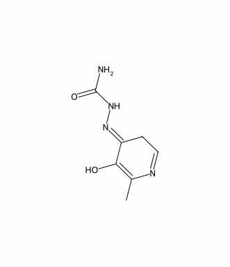 CC1=C(O)C(=NNC(N)=O)CC=N1